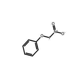 O=[N+]([O-])[I]Oc1ccccc1